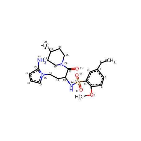 CCc1ccc(OC)c(S(=O)(=O)NC(CCn2cccc2N)C(=O)N2CCC(C)CC2)c1